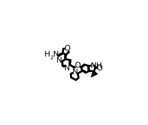 Nc1nc2cnc(C(=O)N3CCCCC3c3ccc4c(c3)C3(CC3)C(=O)N4)cc2c2c1COC2